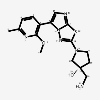 COc1nc(C)ccc1-c1cnc2sc(N3CC[C@@](O)(CN)C3)nn12